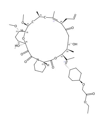 C=CC[C@@H]1/C=C(\C)C[C@H](C)C[C@H](OC)[C@H]2O[C@@](O)(C(=O)C(=O)N3CCCC[C@H]3C(=O)O[C@H](/C(C)=C/[C@H]3CC[C@H](OCC(=O)OCC)CC3)[C@H](C)[C@@H](O)CC1=O)[C@H](C)C[C@@H]2OC